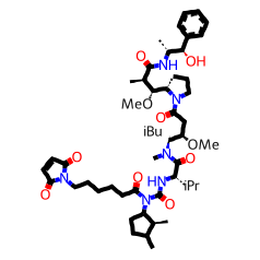 CC[C@H](C)[C@@H]([C@@H](CC(=O)N1CCC[C@H]1[C@H](OC)[C@@H](C)C(=O)N[C@H](C)[C@@H](O)c1ccccc1)OC)N(C)C(=O)[C@@H](NC(=O)N(C(=O)CCCCCN1C(=O)C=CC1=O)C1CCC(C)[C@@H]1C)C(C)C